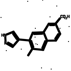 Cc1cc2ccc(C(=O)O)cc2cc1-c1cn[nH]c1